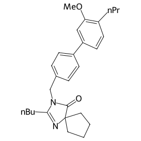 CCCCC1=NC2(CCCC2)C(=O)N1Cc1ccc(-c2ccc(CCC)c(OC)c2)cc1